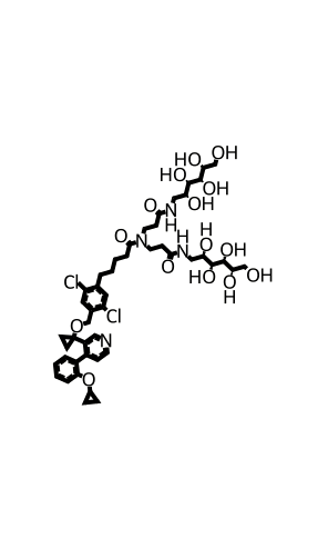 O=C(CCN(CCC(=O)NC[C@@H](O)[C@H](O)[C@@H](O)[C@@H](O)CO)C(=O)CCCCc1cc(Cl)c(COC2(c3cnccc3-c3ccccc3OC3CC3)CC2)cc1Cl)NC[C@@H](O)[C@H](O)[C@@H](O)[C@@H](O)CO